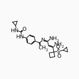 C=C(/N=C(N)\C=C(/N)C1(S(=O)(=O)C2CC2)CCC1)c1ccc(NC(=O)NC2CC2)cc1